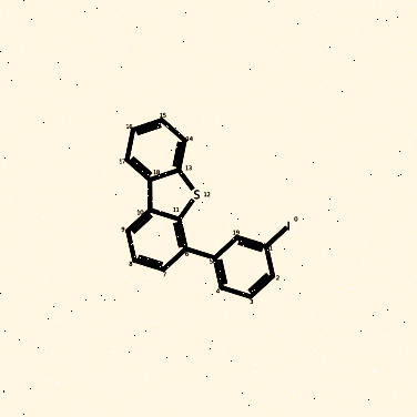 Ic1cccc(-c2cccc3c2sc2ccccc23)c1